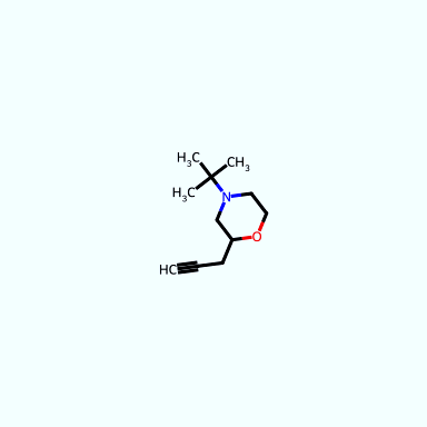 C#CCC1CN(C(C)(C)C)CCO1